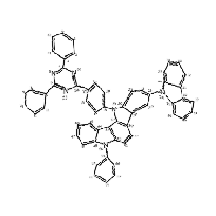 c1ccc(-c2nc(-c3ccccc3)nc(-c3ccc(-n4c5ccc(-n6c7ccccc7c7ccccc76)cc5c5ccc6c(c7ccccc7n6-c6ccccc6)c54)cc3)n2)cc1